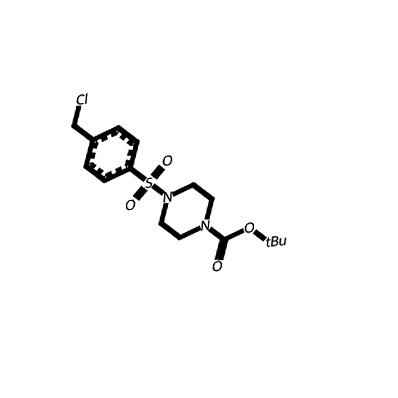 CC(C)(C)OC(=O)N1CCN(S(=O)(=O)c2ccc(CCl)cc2)CC1